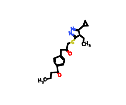 CCCC(=O)c1ccc(CC(=O)CSC2=NN=C(C3CC3)C2CC)cc1